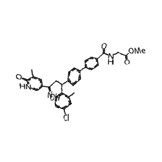 COC(=O)CNC(=O)c1ccc(-c2ccc(C(C/C(=N\O)c3c[nH]c(=O)c(C)c3)c3ccc(Cl)cc3C)cc2)cc1